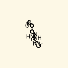 Cc1cccc2nc(C(=O)Nc3nc4cc(-c5cccc(S(C)(=O)=O)c5)ccc4[nH]3)cn12